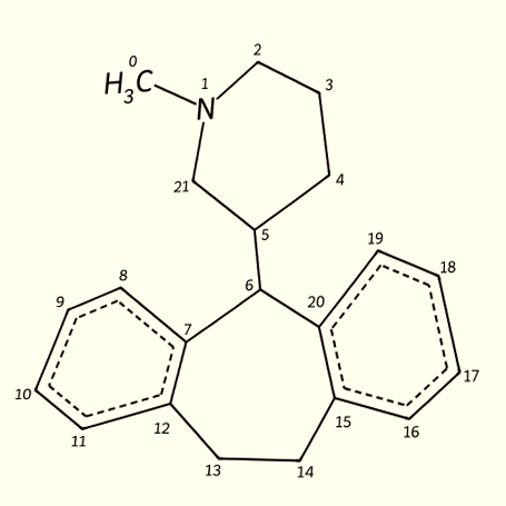 CN1CCCC(C2c3ccccc3CCc3ccccc32)C1